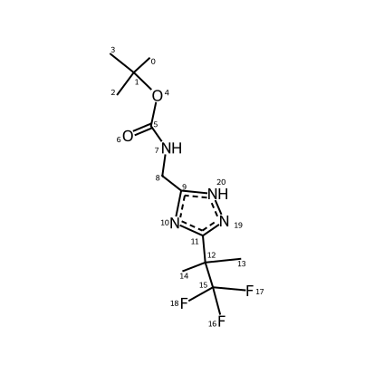 CC(C)(C)OC(=O)NCc1nc(C(C)(C)C(F)(F)F)n[nH]1